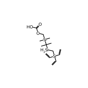 C=C[Si](C=C)(C=C)C[SiH2]C(C)(C)[Si](C)(C)COC(=O)O